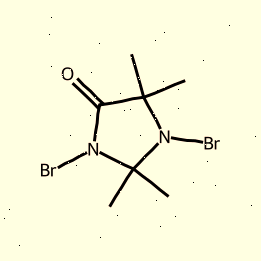 CC1(C)C(=O)N(Br)C(C)(C)N1Br